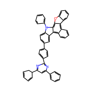 C1=CCC(c2cc(-c3ccccc3)nc(-c3ccc(-c4ccc5c(c4)c4c6ccccc6c6c7ccccc7oc6c4n5-c4ccccc4)cc3)n2)C=C1